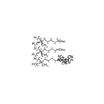 CCCCCCCCCCCCCC[N+](C)(C)C.CCCCCCCCCCCCCC[N+](C)(C)C.CCCCCCCCCCCCCC[N+](C)(C)C.N#[C][Fe-3]([C]#N)([C]#N)([C]#N)([C]#N)[C]#N